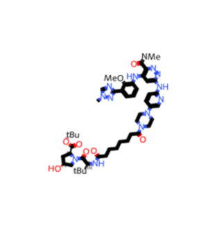 CNC(=O)c1nnc(Nc2ccc(N3CCN(C(=O)CCCCCCC(=O)N[C@H](C(=O)N4C[C@H](O)C[C@H]4C(=O)OC(C)(C)C)C(C)(C)C)CC3)cn2)cc1Nc1cccc(-c2ncn(C)n2)c1OC